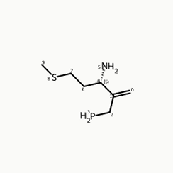 C=C(CP)[C@@H](N)CCSC